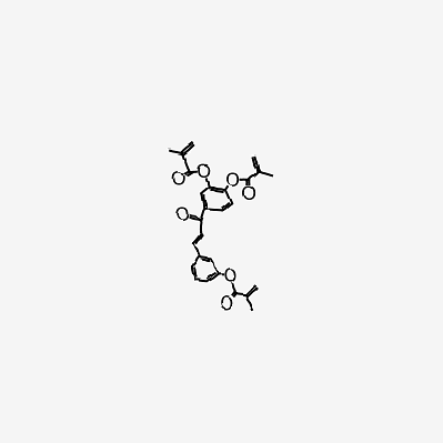 C=C(C)C(=O)Oc1cccc(/C=C/C(=O)c2ccc(OC(=O)C(=C)C)c(OC(=O)C(=C)C)c2)c1